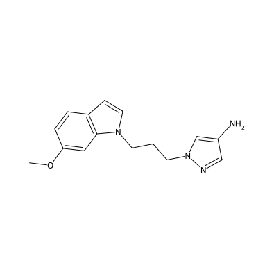 COc1ccc2ccn(CCCn3cc(N)cn3)c2c1